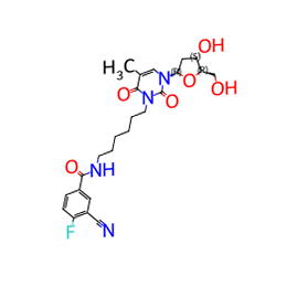 Cc1cn([C@H]2C[C@H](O)[C@@H](CO)O2)c(=O)n(CCCCCCNC(=O)c2ccc(F)c(C#N)c2)c1=O